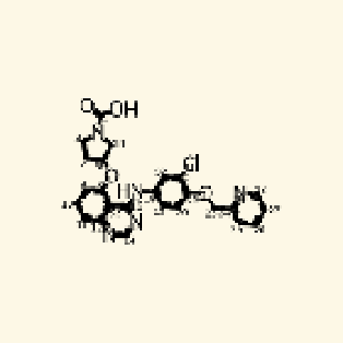 O=C(O)N1CC[C@H](Oc2cccc3ncnc(Nc4ccc(OCc5ccccn5)c(Cl)c4)c23)C1